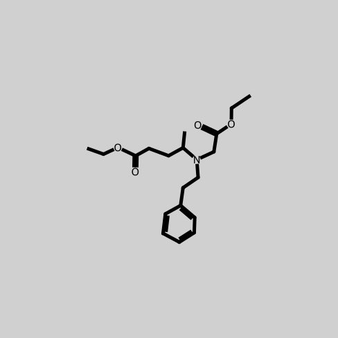 CCOC(=O)CCC(C)N(CCc1ccccc1)CC(=O)OCC